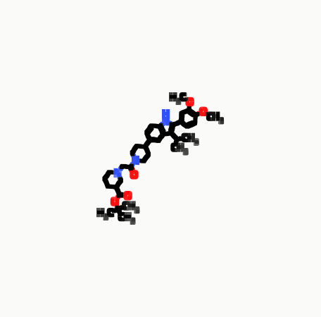 COc1ccc(-c2[nH]c3ccc(C4CCN(C(=O)CN5CCCC(C(=O)OC(C)(C)C)C5)CC4)cc3c2C(C)C)cc1OC